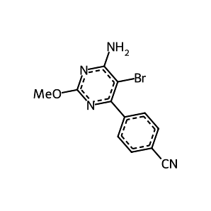 COc1nc(N)c(Br)c(-c2ccc(C#N)cc2)n1